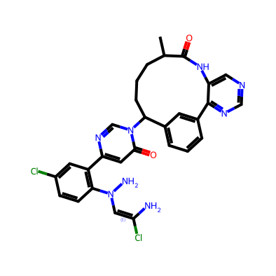 CC1CCCC(n2cnc(-c3cc(Cl)ccc3N(N)/C=C(\N)Cl)cc2=O)c2cccc(c2)-c2ncncc2NC1=O